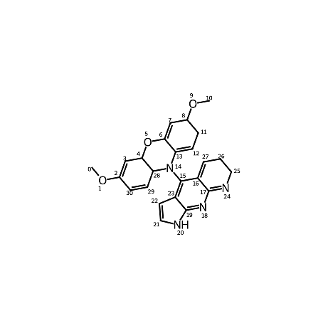 COC1=CC2OC3=CC(OC)CC=C3N(c3c4c(nc5[nH]ccc35)=NCCC=4)C2C=C1